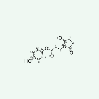 O=C(CCN1C(=O)CCC1=O)Oc1ccc(O)cc1